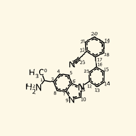 CC(N)c1ccc2c(c1)ncn2-c1cccc(-c2ccccc2C#N)c1